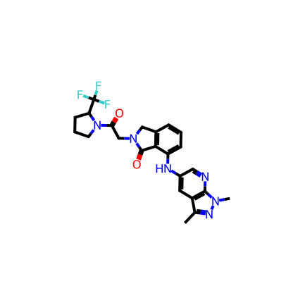 Cc1nn(C)c2ncc(Nc3cccc4c3C(=O)N(CC(=O)N3CCCC3C(F)(F)F)C4)cc12